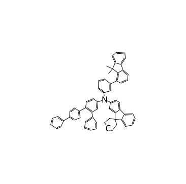 CC1(C)c2ccccc2-c2cccc(-c3cccc(N(c4ccc(-c5ccc(-c6ccccc6)cc5)c(-c5ccccc5)c4)c4ccc5c(c4)C4(CCCCC4)c4ccccc4-5)c3)c21